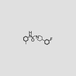 Cc1cccc(NC(=O)CN2CCC(c3cccc(F)c3)CC2)c1